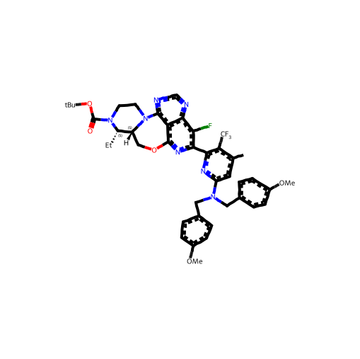 CC[C@H]1[C@H]2COc3nc(-c4nc(N(Cc5ccc(OC)cc5)Cc5ccc(OC)cc5)cc(C)c4C(F)(F)F)c(F)c4ncnc(c34)N2CCN1C(=O)OC(C)(C)C